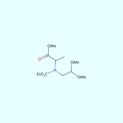 CCOC(=O)N(CC(OC)OC)C(C)C(=O)OC